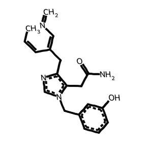 C=N/C=C(\C=C/C)Cc1ncn(Cc2cccc(O)c2)c1CC(N)=O